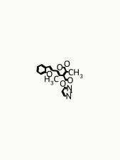 Cc1c(-c2cc3ccccc3o2)oc(=O)c(C)c1C(=O)Oc1ccncn1